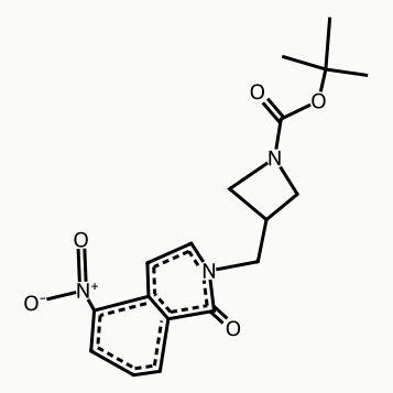 CC(C)(C)OC(=O)N1CC(Cn2ccc3c([N+](=O)[O-])cccc3c2=O)C1